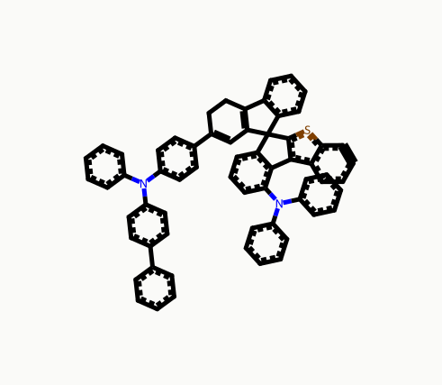 c1ccc2c3c(sc2c#1)C1(C2=C(CCC(c4ccc(N(c5ccccc5)c5ccc(-c6ccccc6)cc5)cc4)=C2)c2ccccc21)c1cccc(N(c2ccccc2)c2ccccc2)c1-3